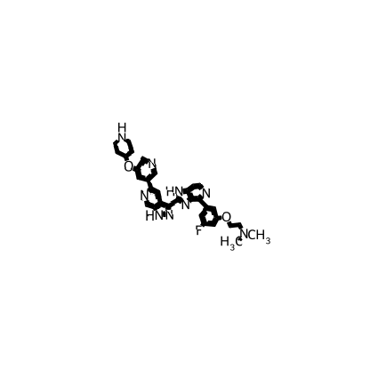 CN(C)CCOc1cc(F)cc(-c2nccc3[nH]c(-c4n[nH]c5cnc(-c6cncc(OC7CCNCC7)c6)cc45)nc23)c1